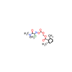 Cc1cccc(C)c1C(=O)OCOC(=O)ON=C(Cl)C(=O)N(C)C